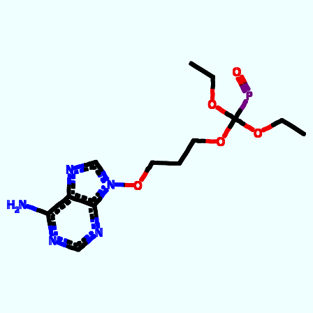 CCOC(OCC)(OCCCOn1cnc2c(N)ncnc21)P=O